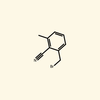 Cc1cccc(CBr)c1C#N